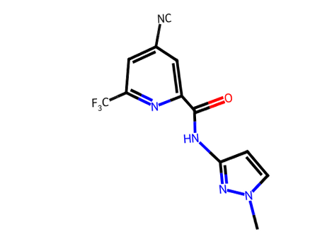 [C-]#[N+]c1cc(C(=O)Nc2ccn(C)n2)nc(C(F)(F)F)c1